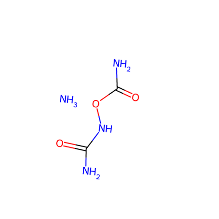 N.NC(=O)NOC(N)=O